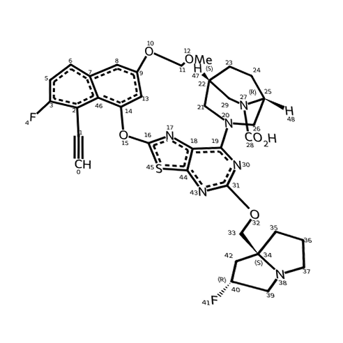 C#Cc1c(F)ccc2cc(OCOC)cc(Oc3nc4c(N5C[C@@H]6CC[C@H](C5)N(C(=O)O)C6)nc(OC[C@@]56CCCN5C[C@H](F)C6)nc4s3)c12